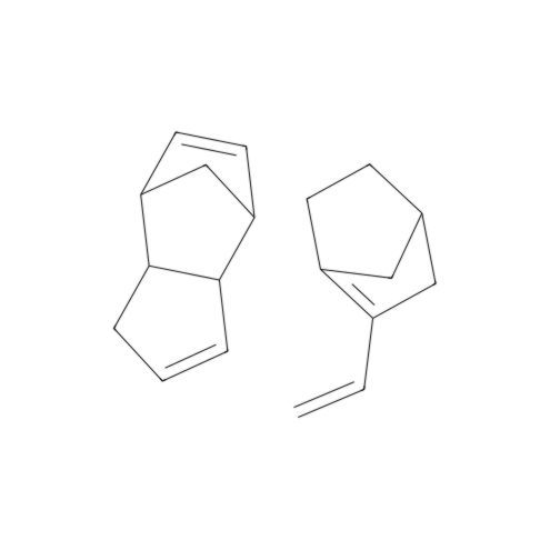 C1=CC2C3C=CC(C3)C2C1.C=CC1=C2CCC(C1)C2